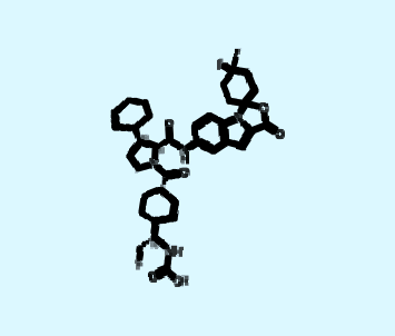 O=C(O)N[C@H](CF)[C@H]1CC[C@H](C(=O)N2CC[C@@H](C3CCCCC3)[C@H]2C(=O)Nc2ccc3c(c2)cc2n3C3(CCC(F)(F)CC3)OC2=O)CC1